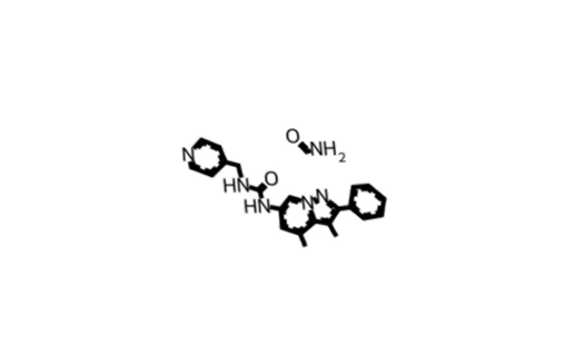 Cc1cc(NC(=O)NCc2ccncc2)cn2nc(-c3ccccc3)c(C)c12.NC=O